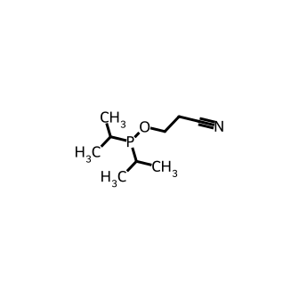 CC(C)P(OCCC#N)C(C)C